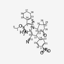 CCOC(=O)c1c(N2C(N)=C(C#N)C(c3ccc([N+](=O)[O-])cc3)C3C(=O)CC(C)(C)CC32)sc2c1CCCC2